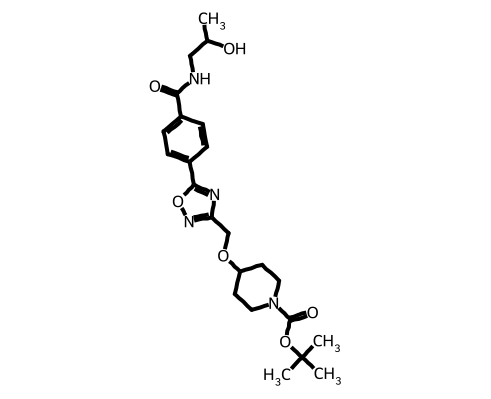 CC(O)CNC(=O)c1ccc(-c2nc(COC3CCN(C(=O)OC(C)(C)C)CC3)no2)cc1